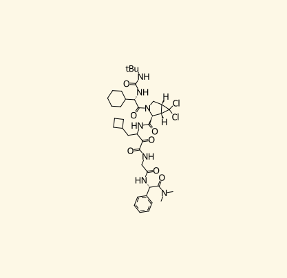 CN(C)C(=O)[C@@H](NC(=O)CNC(=O)C(=O)C(CC1CCC1)NC(=O)[C@@H]1[C@@H]2[C@H](CN1C(=O)[C@@H](NC(=O)NC(C)(C)C)C1CCCCC1)C2(Cl)Cl)c1ccccc1